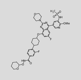 COc1ncc(-c2nc(N3CCOCC3)nc3c(OC4CCC(c5ccc(C(=O)NOC6CCCCO6)cc5F)CC4)cc(F)cc23)cc1NS(C)(=O)=O